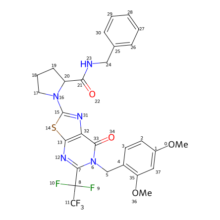 COc1ccc(Cn2c(C(F)(F)C(F)(F)F)nc3sc(N4CCCC4C(=O)NCc4ccccc4)nc3c2=O)c(OC)c1